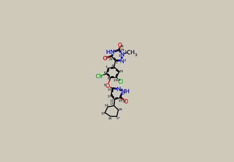 Cn1nc(-c2cc(Cl)c(Oc3cc(C4CCCCC4)c(=O)[nH]n3)c(Cl)c2)c(=O)[nH]c1=O